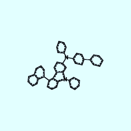 c1ccc(-c2ccc(N(c3ccccc3)c3ccc4c5c(-c6cccc7ccccc67)cccc5n(-c5ccccc5)c4c3)cc2)cc1